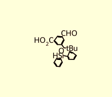 CC(C)(C)C(O[SiH](c1ccccc1)c1ccccc1)c1cc(C=O)cc(C(=O)O)c1